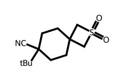 CC(C)(C)C1(C#N)CCC2(CC1)CS(=O)(=O)C2